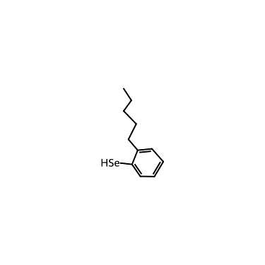 CCCCCc1ccccc1[SeH]